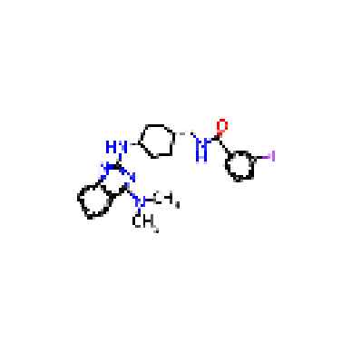 CN(C)c1nc(N[C@H]2CC[C@@H](CNC(=O)c3cccc(I)c3)CC2)nc2ccccc12